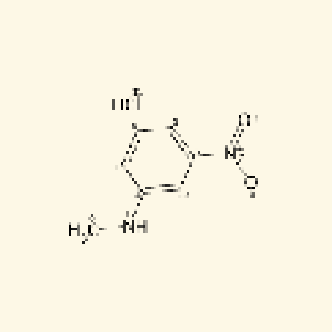 CNc1cccc([N+](=O)[O-])c1.Cl